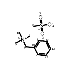 CS(=O)(=O)[O-].C[N+](C)(C)Cc1ccccc1